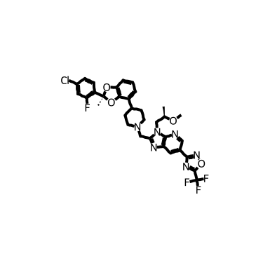 CO[C@H](C)Cn1c(CN2CCC(c3cccc4c3O[C@@](C)(c3ccc(Cl)cc3F)O4)CC2)nc2cc(-c3noc(C(F)(F)F)n3)cnc21